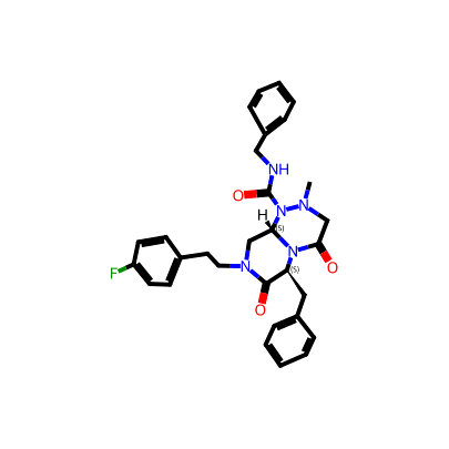 CN1CC(=O)N2[C@@H](Cc3ccccc3)C(=O)N(CCc3ccc(F)cc3)C[C@@H]2N1C(=O)NCc1ccccc1